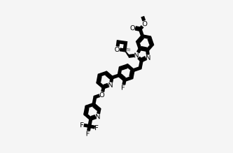 COC(=O)c1ccc2nc(Cc3ccc(-c4cccc(OCc5ccc(C(F)(F)F)nc5)n4)c(F)c3)n(C[C@@H]3CCO3)c2c1